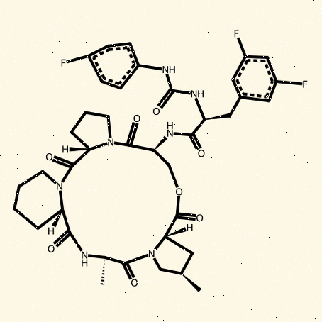 C[C@@H]1C[C@H]2C(=O)OC[C@H](NC(=O)[C@H](Cc3cc(F)cc(F)c3)NC(=O)Nc3ccc(F)cc3)C(=O)N3CCC[C@H]3C(=O)N3CCCC[C@H]3C(=O)N[C@@H](C)C(=O)N2C1